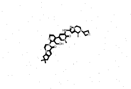 C[C@H]1c2cc(Nc3cc(-c4ccnc(-n5ccn6c7c(cc6c5=O)CC(C)(C)C7)c4CO)cn(C)c3=O)nn2CCN1C1COC1